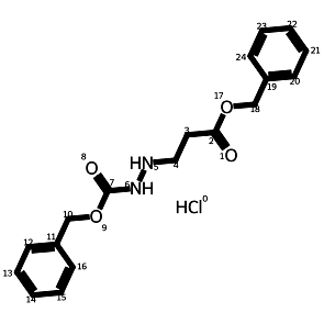 Cl.O=C(CCNNC(=O)OCc1ccccc1)OCc1ccccc1